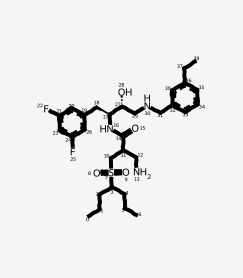 CCCC(CCC)S(=O)(=O)CC(CN)C(=O)N[C@@H](Cc1cc(F)cc(F)c1)[C@H](O)CNCc1cccc(CC)c1